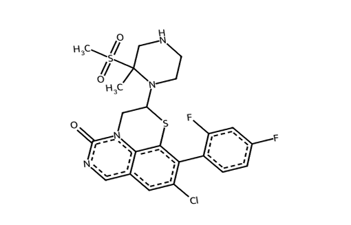 CC1(S(C)(=O)=O)CNCCN1C1Cn2c(=O)ncc3cc(Cl)c(-c4ccc(F)cc4F)c(c32)S1